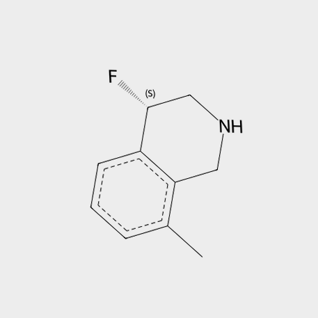 Cc1cccc2c1CNC[C@H]2F